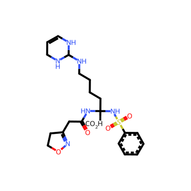 O=C(CC1=NOCC1)NC(CCCCNC1NC=CCN1)(NS(=O)(=O)c1ccccc1)C(=O)O